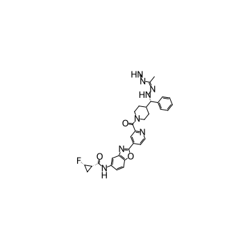 C/C(N=N)=N/N[C@H](c1ccccc1)C1CCN(C(=O)c2cc(-c3nc4cc(NC(=O)[C@@H]5C[C@@H]5F)ccc4o3)ccn2)CC1